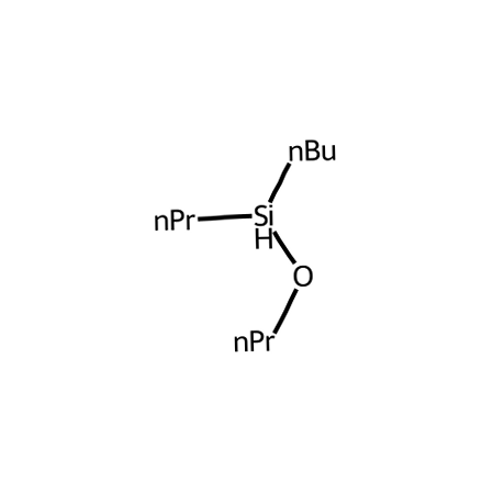 CCCC[SiH](CCC)OCCC